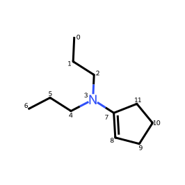 CCCN(CCC)C1=CCCC1